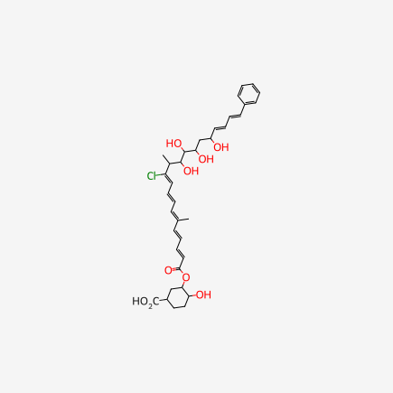 CC(/C=C/C=C/C(=O)OC1CC(C(=O)O)CCC1O)=C\C=C\C=C(/Cl)C(C)C(O)C(O)C(O)CC(O)/C=C/C=C/c1ccccc1